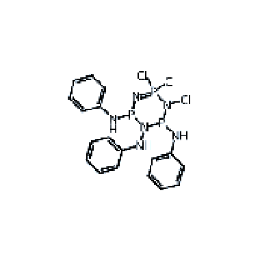 ClN1P(Nc2ccccc2)N(Nc2ccccc2)P(Nc2ccccc2)N=P1(Cl)Cl